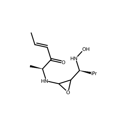 C/C=C/C(=O)[C@H](C)NC1OC1[C@@H](NO)C(C)C